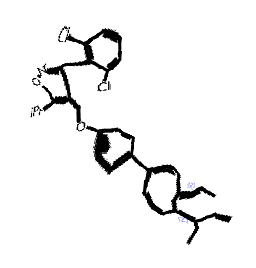 C=C/C(C)=c1/ccc(-c2ccc(OCc3c(-c4c(Cl)cccc4Cl)noc3C(C)C)cc2)c/c1=C/C